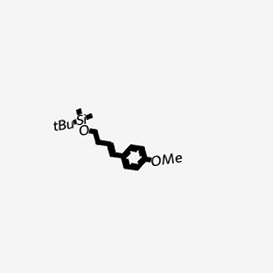 COc1ccc(C=CCCO[Si](C)(C)C(C)(C)C)cc1